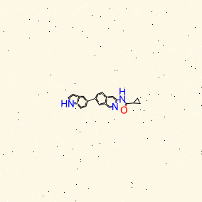 O=C(Nc1cc2ccc(-c3ccc4[nH]ccc4c3)cc2cn1)C1CC1